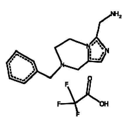 NCc1ncc2n1CCN(Cc1ccccc1)C2.O=C(O)C(F)(F)F